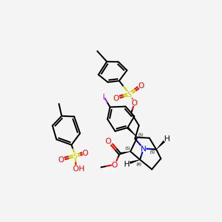 COC(=O)[C@H]1[C@@H](c2ccc(I)cc2)C[C@@H]2CC[C@H]1N2CCCOS(=O)(=O)c1ccc(C)cc1.Cc1ccc(S(=O)(=O)O)cc1